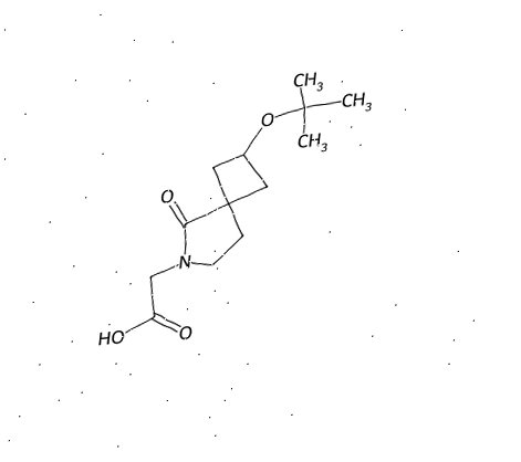 CC(C)(C)OC1CC2(CCN(CC(=O)O)C2=O)C1